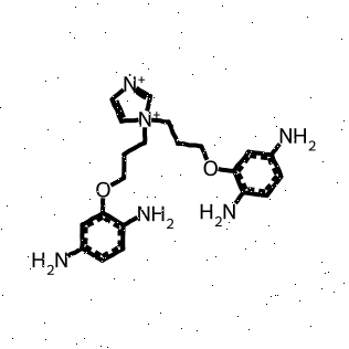 Nc1ccc(N)c(OCCC[N+]2(CCCOc3cc(N)ccc3N)C=C[N+]=C2)c1